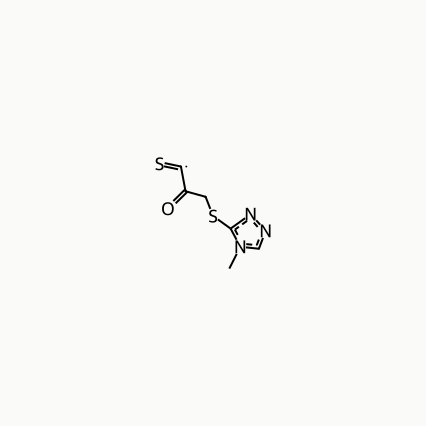 Cn1cnnc1SCC(=O)[C]=S